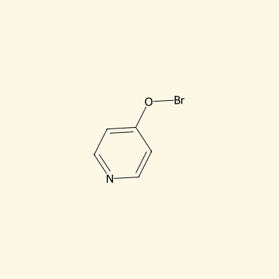 BrOc1ccncc1